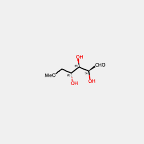 COC[C@@H](O)[C@@H](O)[C@H](O)C=O